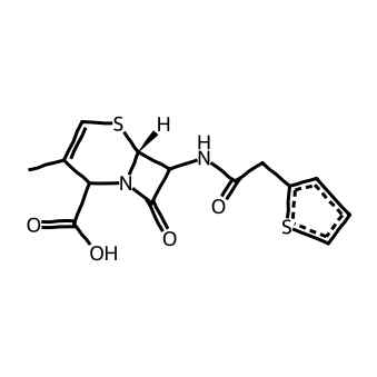 CC1=CS[C@@H]2C(NC(=O)Cc3cccs3)C(=O)N2C1C(=O)O